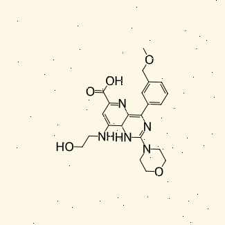 COCc1cccc(C2=C3N=C(C(=O)O)C=C(NCCO)C3NC(N3CCOCC3)=N2)c1